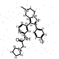 CN1CCn2nc(-c3ccc(F)cc3)c(-c3ccnc(NC(=O)CN4CCCC4)c3)c2C1